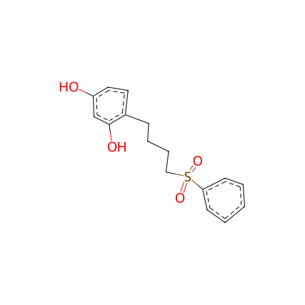 O=S(=O)(CCCCc1ccc(O)cc1O)c1ccccc1